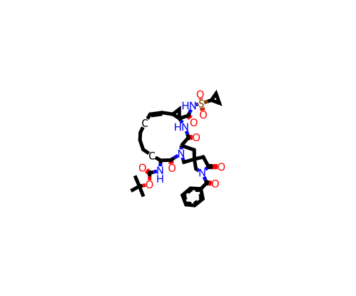 CC(C)(C)OC(=O)NC1CCCCC/C=C\C2CC2(C(=O)NS(=O)(=O)C2CC2)NC(=O)C2CC3(CC(=O)N(C(=O)c4ccccc4)C3)CN2C1=O